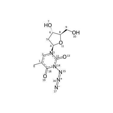 Cc1cn([C@H]2C[C@H](O)[C@@H](CO)O2)c(=O)n(N=[N+]=[N-])c1=O